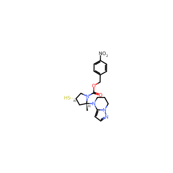 C[C@@]1(N2CCCn3nccc32)C[C@H](S)CN1C(=O)OCc1ccc([N+](=O)[O-])cc1